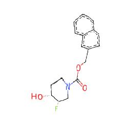 O=C(OCc1ccc2ccccc2c1)N1CC[C@@H](O)[C@@H](F)C1